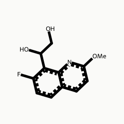 COc1ccc2ccc(F)c(C(O)CO)c2n1